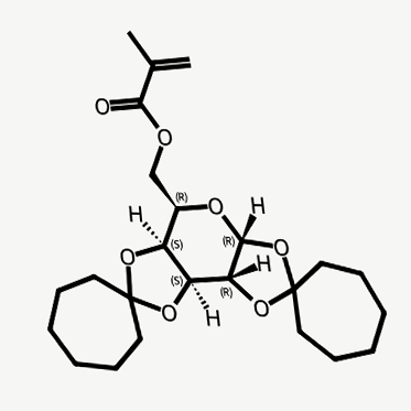 C=C(C)C(=O)OC[C@H]1O[C@@H]2OC3(CCCCCC3)O[C@@H]2[C@H]2OC3(CCCCCC3)O[C@H]21